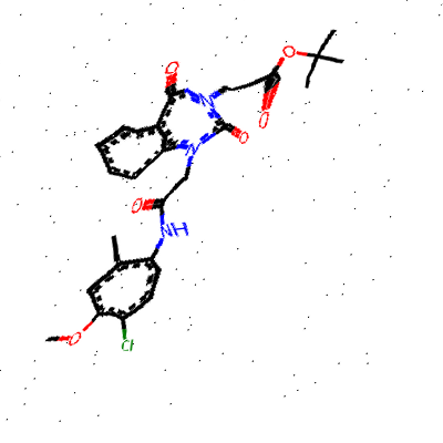 COc1cc(C)c(NC(=O)Cn2c(=O)n(CC(=O)OC(C)(C)C)c(=O)c3ccccc32)cc1Cl